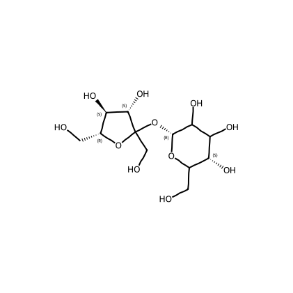 OCC1O[C@H](OC2(CO)O[C@H](CO)[C@@H](O)[C@@H]2O)C(O)C(O)[C@@H]1O